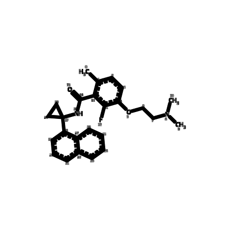 Cc1ccc(OCCN(C)C)c(F)c1C(=O)NC1(c2cccc3ccccc23)CC1